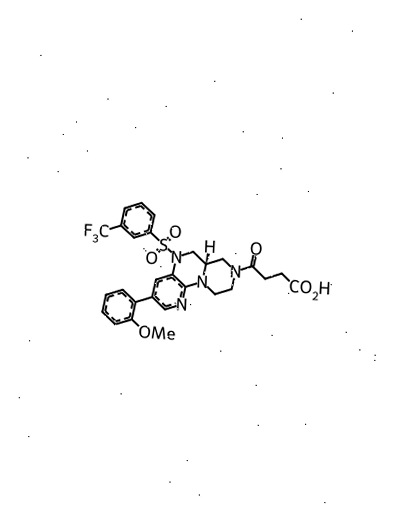 COc1ccccc1-c1cnc2c(c1)N(S(=O)(=O)c1cccc(C(F)(F)F)c1)C[C@@H]1CN(C(=O)CCC(=O)O)CCN21